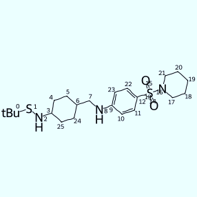 CC(C)(C)SNC1CCC(CNc2ccc(S(=O)(=O)N3CCCCC3)cc2)CC1